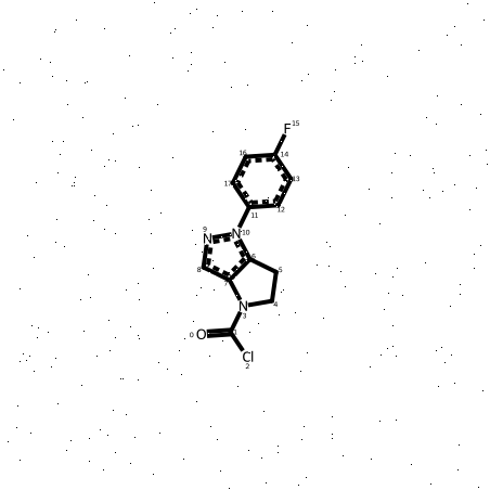 O=C(Cl)N1CCc2c1cnn2-c1ccc(F)cc1